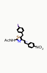 CC(=O)Nc1nc(/C=C/c2ccc([N+](=O)[O-])cc2)c(Cc2ccc(I)cc2)s1